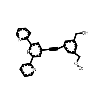 CCOCc1cc(C#Cc2cc(-c3ccccn3)nc(-c3ccccn3)c2)cc(CO)c1